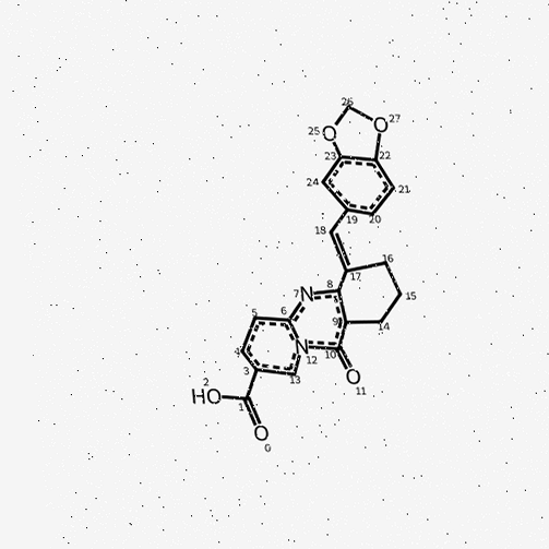 O=C(O)c1ccc2nc3c(c(=O)n2c1)CCCC3=Cc1ccc2c(c1)OCO2